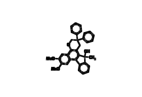 COc1cc2c3c(c4c(c2cc1OC)-c1ccccc1C4(C)O)CC(c1ccccc1)(c1ccccc1)CO3